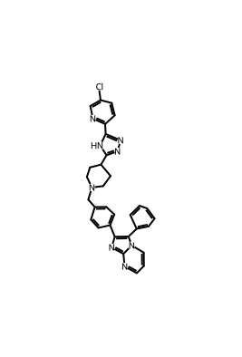 Clc1ccc(-c2nnc(C3CCN(Cc4ccc(-c5nc6ncccn6c5-c5ccccc5)cc4)CC3)[nH]2)nc1